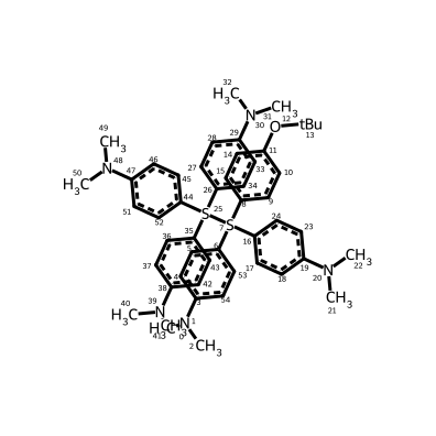 CN(C)c1ccc(S(c2ccc(OC(C)(C)C)cc2)(c2ccc(N(C)C)cc2)S(c2ccc(N(C)C)cc2)(c2ccc(N(C)C)cc2)c2ccc(N(C)C)cc2)cc1